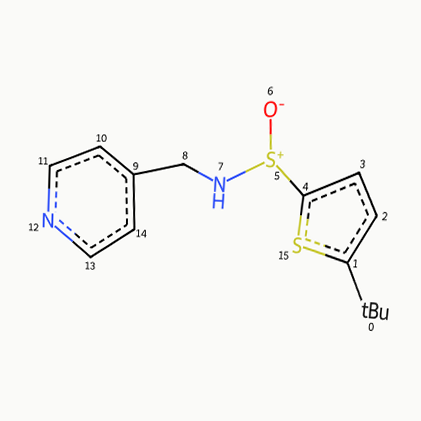 CC(C)(C)c1ccc([S+]([O-])NCc2ccncc2)s1